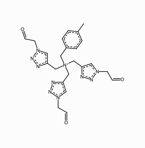 Cc1ccc(C[N+](Cc2cn(CC=O)nn2)(Cc2cn(CC=O)nn2)Cc2cn(CC=O)nn2)cc1